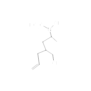 C=CCC(CO)CC(C)N(O)C(=O)O